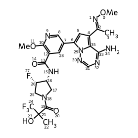 CO/N=C(\C)c1cc(-c2cnc(OC)c(C(=O)N[C@@H]3CN(C(=O)C(C)(O)C(F)(F)F)C[C@@H]3F)c2)n2ncnc(N)c12